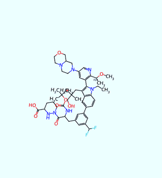 CCn1c(-c2cc(N3CCN4CCOCC4C3)cnc2[C@H](C)OC)c(CC(C)(C)CO)c2cc(-c3cc(CC(NC(=O)OC(C)(C)C)C(=O)N4CCCC(C(=O)O)N4)cc(C(F)F)c3)ccc21